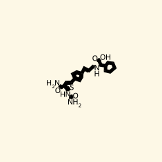 NC(=O)Nc1sc(-c2ccc(C=CCN[C@H](C(=O)O)C3CCCCC3)cc2)cc1C(N)=O